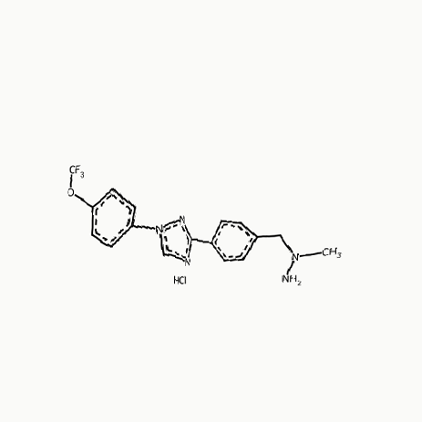 CN(N)Cc1ccc(-c2ncn(-c3ccc(OC(F)(F)F)cc3)n2)cc1.Cl